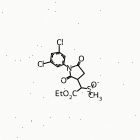 CCOC(=O)C(C1CC(=O)N(c2cc(Cl)cc(Cl)c2)C1=O)[S+](C)[O-]